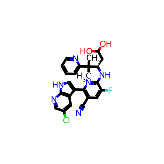 CC(C)(c1ccccn1)[C@@H](CC(O)O)Nc1nc(-c2c[nH]c3ncc(Cl)cc23)c(C#N)cc1F